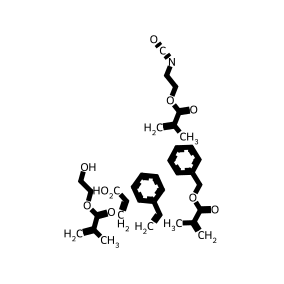 C=C(C)C(=O)OCCN=C=O.C=C(C)C(=O)OCCO.C=C(C)C(=O)OCc1ccccc1.C=CC(=O)O.C=Cc1ccccc1